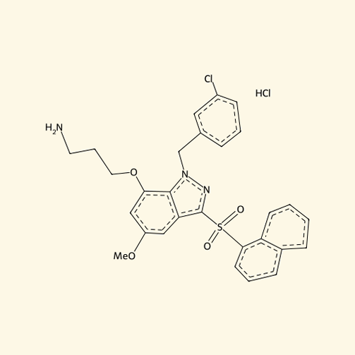 COc1cc(OCCCN)c2c(c1)c(S(=O)(=O)c1cccc3ccccc13)nn2Cc1cccc(Cl)c1.Cl